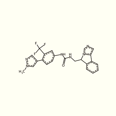 Cn1cc(-c2ccc(NC(=O)NCC3c4ccccc4-c4cncn43)cc2C(F)(F)F)cn1